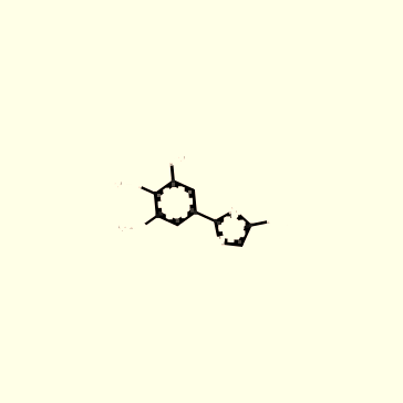 COc1cc(-c2nc(C)cs2)cc(OC)c1OC